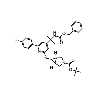 CC(C)(C)OC(=O)N1C[C@@H]2C(Nc3cc(C(C)(C)NC(=O)OCc4ccccc4)cc(-c4ccc(F)cc4)n3)[C@@H]2C1